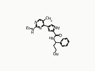 CCNc1ncc(C)c(-c2c[nH]c(C(=O)NC(CCO)c3ccccc3)c2)n1